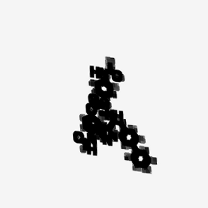 CC(=O)Nc1ccc(OP(=O)(CN[C@@H](Cc2ccc(-c3ccccc3)cc2)c2nnn[nH]2)Oc2ccc(NC(C)=O)cc2)cc1